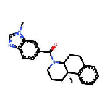 Cn1cnc2ccc(C(=O)N3CCC[C@@H]4c5ccccc5CCC43)cc21